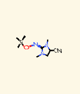 CN1CC(C#N)N(C)/C1=N/O[Si](C)(C)C